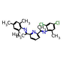 C/C(=N\c1c(C)cc(C)cc1C)c1cccc(/C(C)=N/c2c(C)cc(Cl)cc2Cl)n1